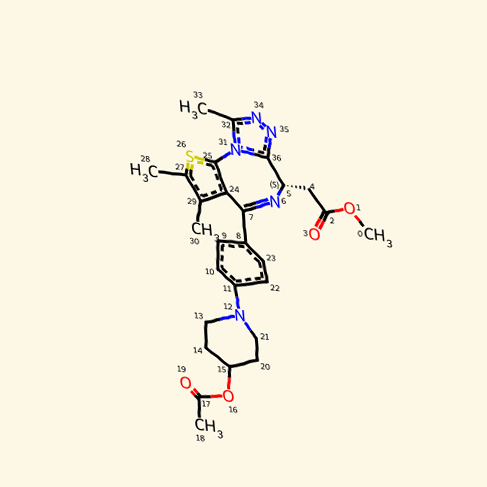 COC(=O)C[C@@H]1N=C(c2ccc(N3CCC(OC(C)=O)CC3)cc2)c2c(sc(C)c2C)-n2c(C)nnc21